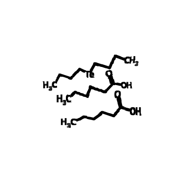 CCCCCC(=O)O.CCCCCC(=O)O.CCCC[Te]CCCC